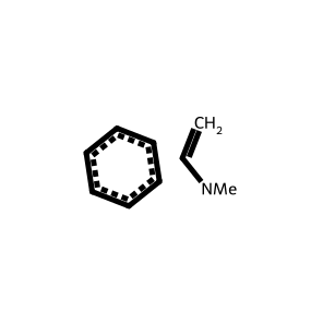 C=CNC.c1ccccc1